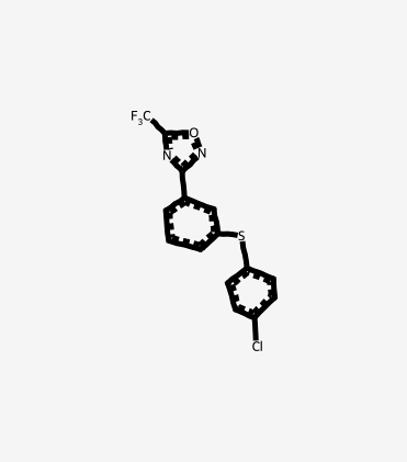 FC(F)(F)c1nc(-c2cc[c]c(Sc3ccc(Cl)cc3)c2)no1